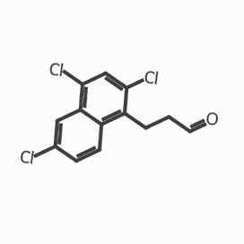 O=CCCc1c(Cl)cc(Cl)c2cc(Cl)ccc12